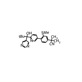 CSc1cc(C(C)(C)C#N)ccc1-c1ccc(C(O)(c2cncnc2)C(C)(C)C)nc1